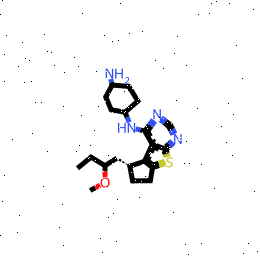 CCC(C[C@H]1CCc2sc3ncnc(NC4CCC(N)CC4)c3c21)OC